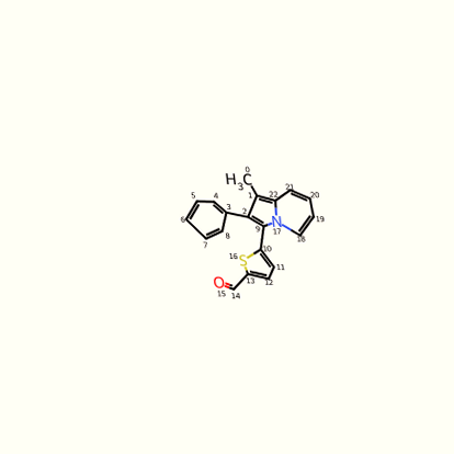 Cc1c(-c2ccccc2)c(-c2ccc(C=O)s2)n2ccccc12